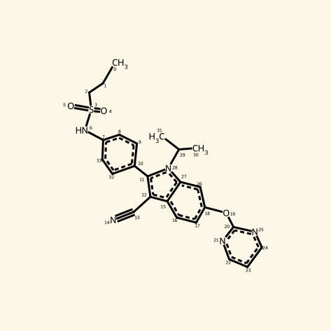 CCCS(=O)(=O)Nc1ccc(-c2c(C#N)c3ccc(Oc4ncccn4)cc3n2C(C)C)cc1